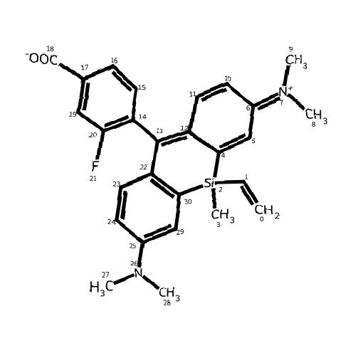 C=C[Si]1(C)C2=CC(=[N+](C)C)C=CC2=C(c2ccc(C(=O)[O-])cc2F)c2ccc(N(C)C)cc21